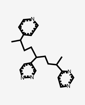 CC(CCC(CCC(C)c1ccncn1)c1ccnnc1)c1ccncc1